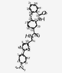 CN(C)c1ccc(-c2ncc(CNC(=O)c3ccc4c(c3)NC(=O)c3ccccc3S4)s2)cc1